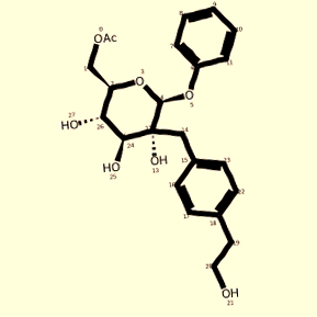 CC(=O)OC[C@H]1O[C@@H](Oc2ccccc2)[C@@](O)(Cc2ccc(CCO)cc2)[C@@H](O)[C@@H]1O